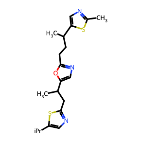 Cc1ncc(C(C)CCc2ncc(C(C)Cc3ncc(C(C)C)s3)o2)s1